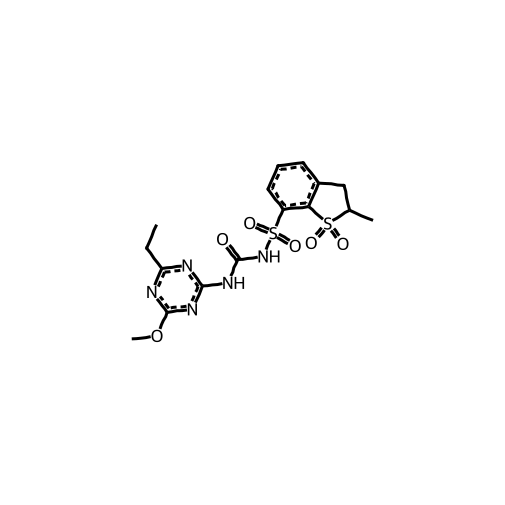 CCc1nc(NC(=O)NS(=O)(=O)c2cccc3c2S(=O)(=O)C(C)C3)nc(OC)n1